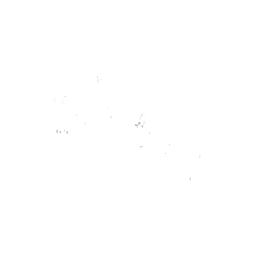 C=CC[N@@+]1(CC(C)C)CC[C@]2(c3cccc(O)c3)C[C@@H](NC(=O)Cc3ccc(Cl)c(Cl)c3)CCC2(OC(C)=O)C1